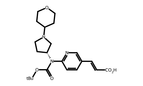 CC(C)(C)OC(=O)N(c1ccc(C=CC(=O)O)cn1)[C@@H]1CCN(C2CCOCC2)C1